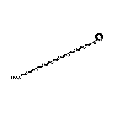 O=C(O)CCOCCOCCOCCOCCOCCOCCOCCOCCSSc1ccccn1